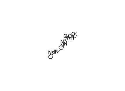 C[C@H]1CCC[C@H](ONC(=O)c2cnc(N3CCC(CNCc4cn(C)c5ccccc45)CC3)nc2)O1